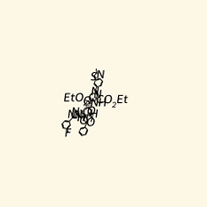 CCOC(=O)C(N=Nc1ccc2nc(C)sc2c1)(NC(=O)[C@H]1C[C@@H](n2cc(-c3cccc(F)c3)nn2)[C@H]2OC(c3ccccc3)OC[C@H]2O1)C(=O)OCC